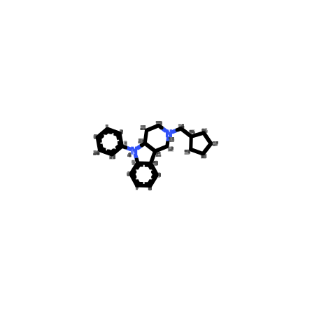 c1ccc(N2c3ccccc3C3CN(CC4CCCC4)CCC32)cc1